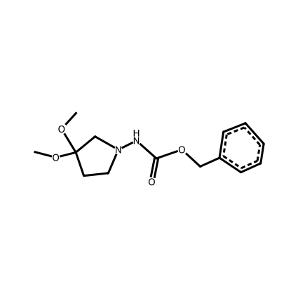 COC1(OC)CCN(NC(=O)OCc2ccccc2)C1